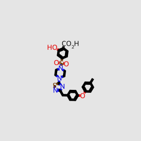 Cc1ccc(Oc2ccc(Cc3nsc(N4CCN(S(=O)(=O)c5ccc(C(=O)O)c(O)c5)CC4)n3)cc2)cc1